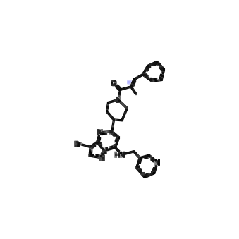 C/C(=C\c1ccccc1)C(=O)N1CCC(c2cc(NCc3cccnc3)n3ncc(Br)c3n2)CC1